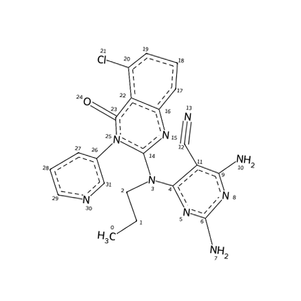 CCCN(c1nc(N)nc(N)c1C#N)c1nc2cccc(Cl)c2c(=O)n1-c1cccnc1